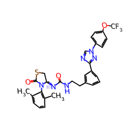 Cc1cccc(C)c1N1C(=O)SC/C1=N\C(=O)NCCc1cccc(-c2ncn(-c3ccc(OC(F)(F)F)cc3)n2)c1